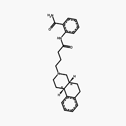 NC(=O)c1ccccc1NC(=O)CCCN1CC[C@H]2c3ccccc3CC[C@H]2C1